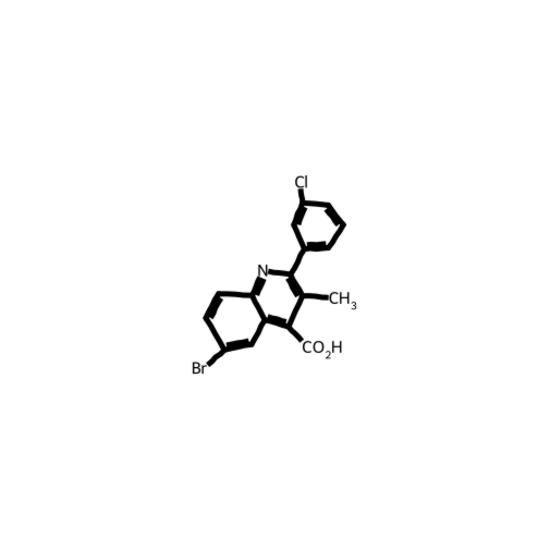 Cc1c(-c2cccc(Cl)c2)nc2ccc(Br)cc2c1C(=O)O